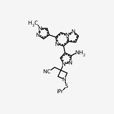 CC(C)SN1CC(CC#N)(n2cc(-c3nc(-c4cnn(C)c4)cn4nccc34)c(N)n2)C1